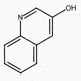 Oc1cnc2cc[c]cc2c1